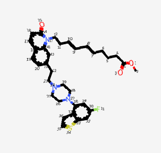 COC(=O)CCCCCCCCCn1c(=O)ccc2ccc(CCN3CCN(c4cc(F)cc5sccc45)CC3)cc21